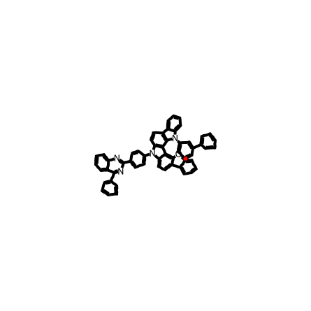 c1ccc(-c2cccc(-n3c4ccccc4c4ccc5c(c6c7oc8ccccc8c7ccc6n5-c5ccc(-c6nc(-c7ccccc7)c7ccccc7n6)cc5)c43)c2)cc1